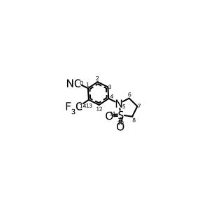 N#Cc1ccc(N2CCCS2(=O)=O)cc1C(F)(F)F